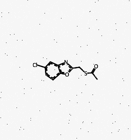 CC(=O)SCc1nc2cc(Cl)ccc2o1